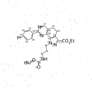 CCOC(=O)c1nn(CCCNC(=O)OC(C)(C)C)c2c1CCc1cnc(-c3ccc(F)cc3)nc1-2